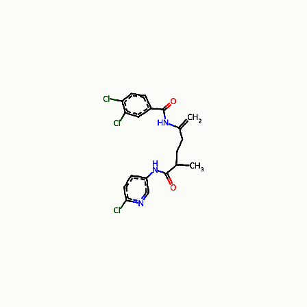 C=C(CCC(C)C(=O)Nc1ccc(Cl)nc1)NC(=O)c1ccc(Cl)c(Cl)c1